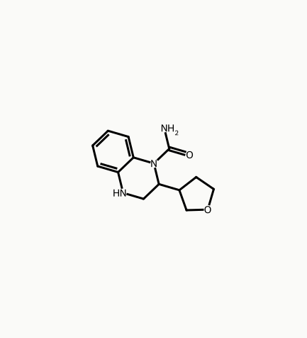 NC(=O)N1c2ccccc2NCC1C1CCOC1